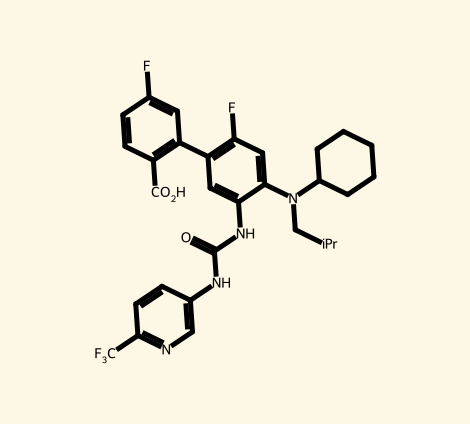 CC(C)CN(c1cc(F)c(-c2cc(F)ccc2C(=O)O)cc1NC(=O)Nc1ccc(C(F)(F)F)nc1)C1CCCCC1